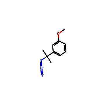 COc1cccc(C(C)(C)N=[N+]=[N-])c1